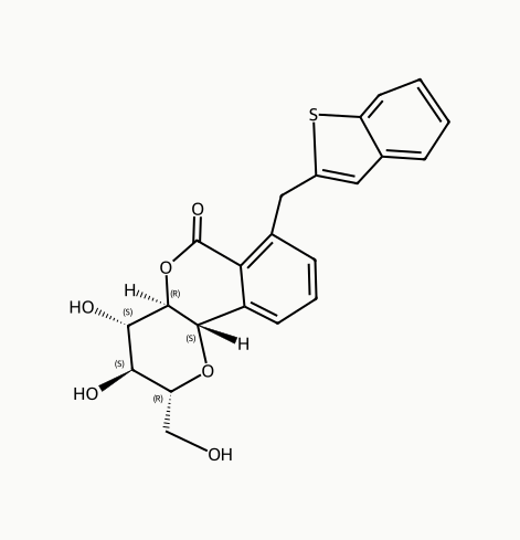 O=C1O[C@@H]2[C@@H](O)[C@H](O)[C@@H](CO)O[C@H]2c2cccc(Cc3cc4ccccc4s3)c21